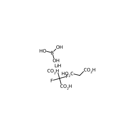 O=C(O)C(F)(F)C(=O)O.O=C(O)CC(=O)O.OB(O)O.[LiH]